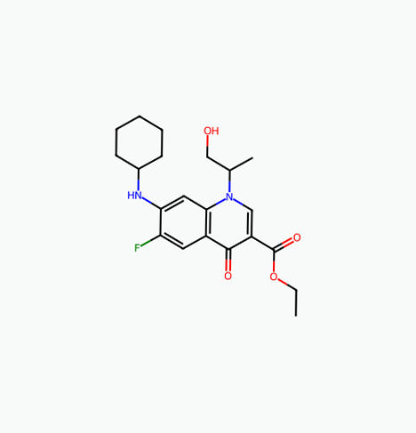 CCOC(=O)c1cn(C(C)CO)c2cc(NC3CCCCC3)c(F)cc2c1=O